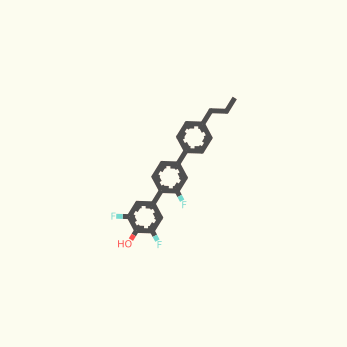 CCCc1ccc(-c2ccc(-c3cc(F)c(O)c(F)c3)c(F)c2)cc1